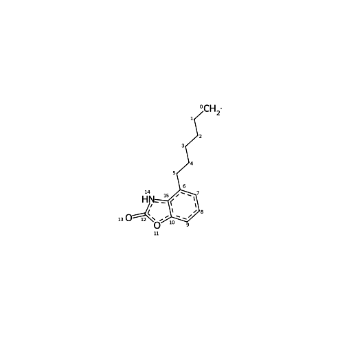 [CH2]CCCCCc1cccc2oc(=O)[nH]c12